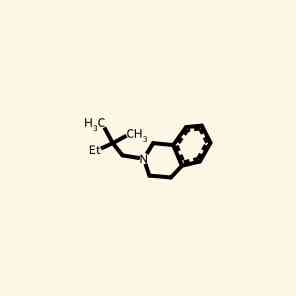 CCC(C)(C)CN1CCc2ccccc2C1